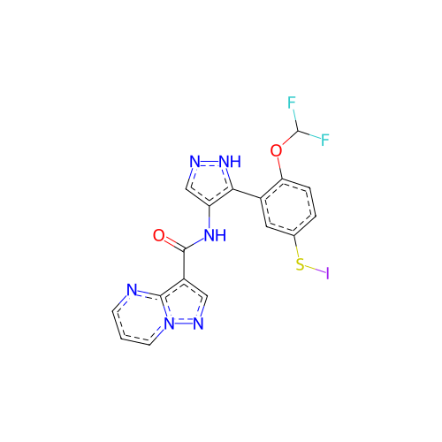 O=C(Nc1cn[nH]c1-c1cc(SI)ccc1OC(F)F)c1cnn2cccnc12